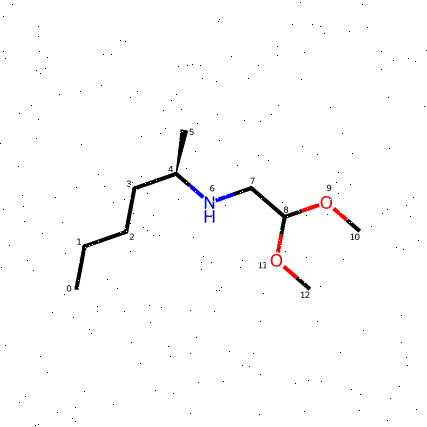 CCCC[C@@H](C)NCC(OC)OC